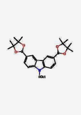 CCCCCCCCn1c2ccc(B3OC(C)(C)C(C)(C)O3)cc2c2cc(B3OC(C)(C)C(C)(C)O3)ccc21